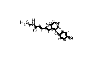 CCNC(=O)/C=C/c1cc2c(Oc3ccc(Br)cc3)cncc2s1